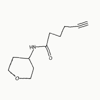 C#CCCCC(=O)NC1CCOCC1